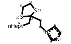 CCCCCCCCC1(CCn2ccnc2)SCCS1